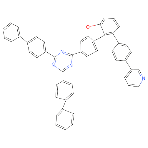 c1ccc(-c2ccc(-c3nc(-c4ccc(-c5ccccc5)cc4)nc(-c4ccc5c(c4)oc4cccc(-c6ccc(-c7cccnc7)cc6)c45)n3)cc2)cc1